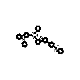 c1ccc(-c2nc(-c3ccc4c5ccccc5n(-c5ccccc5)c4c3)nc(-c3cccc4c3sc3ccc(-c5ccc(-c6nc7ccccc7o6)cc5)cc34)n2)cc1